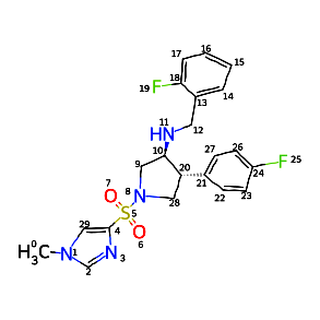 Cn1cnc(S(=O)(=O)N2C[C@@H](NCc3ccccc3F)[C@H](c3ccc(F)cc3)C2)c1